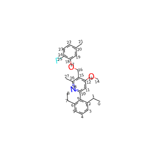 CCc1cccc(CC)c1-c1cc(OC)c(COc2cc(C)ccc2F)c(C)n1